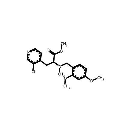 COC(=O)C(Cc1ccncc1Cl)N(C)Cc1ccc(OC)cc1OC